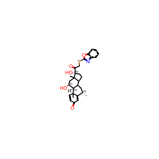 C[C@H]1CC2C3CC[C@](O)(C(=O)CSc4nc5ccccc5o4)C3(C)C[C@H](O)[C@@H]2C2(C)C=CC(=O)C=C12